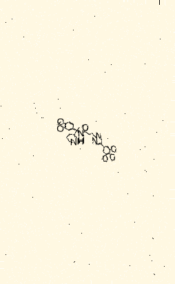 COc1cc(-c2cnc(CCC(=O)NC(C)(c3ccc4c(c3)OCO4)C3CCCNC3)nc2)cc(OC)c1OC